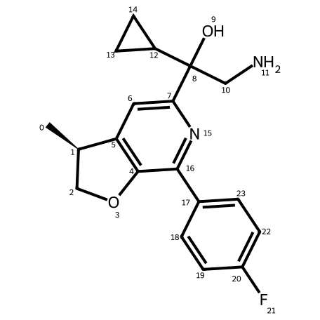 C[C@@H]1COc2c1cc(C(O)(CN)C1CC1)nc2-c1ccc(F)cc1